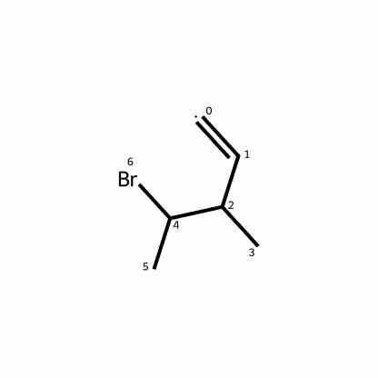 [CH]=CC(C)C(C)Br